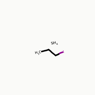 CCCI.[SiH4]